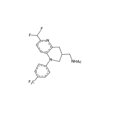 CC(=O)NCC1Cc2nc(C(F)F)ccc2N(c2ccc(C(F)(F)F)cc2)C1